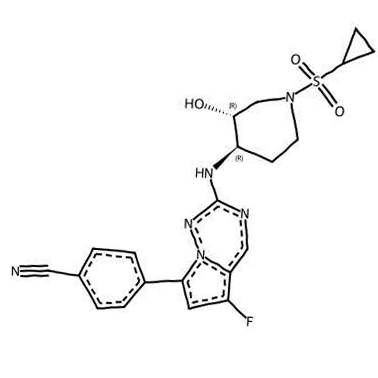 N#Cc1ccc(-c2cc(F)c3cnc(N[C@@H]4CCN(S(=O)(=O)C5CC5)C[C@H]4O)nn23)cc1